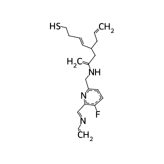 C=CCC(/C=C/CCS)CC(=C)NCc1ccc(F)c(/C=N/C=C)n1